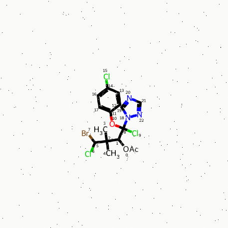 CC(=O)OC(C(C)(C)C(Cl)Br)C(Cl)(Oc1ccc(Cl)cc1)n1cncn1